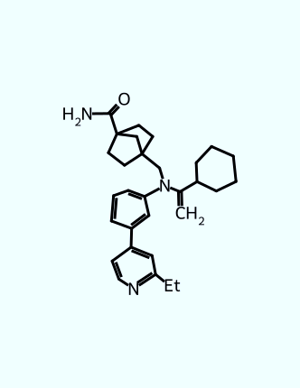 C=C(C1CCCCC1)N(CC12CCC(C(N)=O)(CC1)C2)c1cccc(-c2ccnc(CC)c2)c1